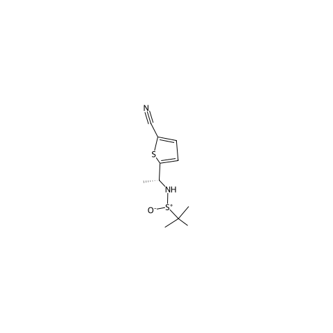 C[C@@H](N[S+]([O-])C(C)(C)C)c1ccc(C#N)s1